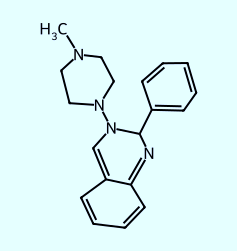 CN1CCN(N2C=c3ccccc3=NC2c2ccccc2)CC1